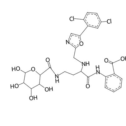 O=C(O)c1ccccc1NC(=O)C(CCNC(=O)C1OC(O)C(O)C(O)C1O)NCc1ncc(-c2cc(Cl)ccc2Cl)o1